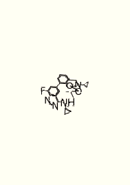 CC(C)S(=O)(=O)N(Cc1cccc(-c2cc(F)c3ncnc(NC4CC4)c3c2)c1)C1CC1